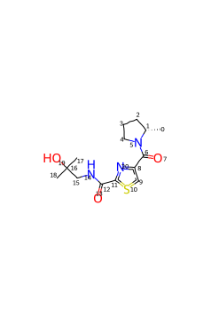 C[C@H]1CCCN1C(=O)c1csc(C(=O)NCC(C)(C)O)n1